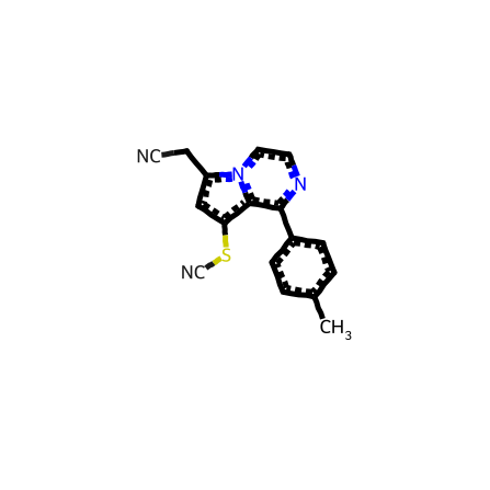 Cc1ccc(-c2nccn3c(CC#N)cc(SC#N)c23)cc1